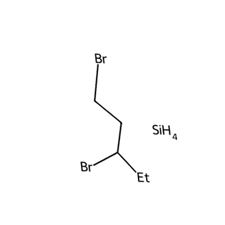 CCC(Br)CCBr.[SiH4]